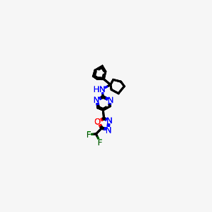 FC(F)c1nnc(-c2cnc(NC3(c4ccccc4)CCCCC3)nc2)o1